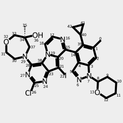 Cc1cc2c(cnn2C2CCCCO2)c(-c2nccn3c2c(I)c2nc(Cl)nc(N4CCOC[C@@](C)(O)C4)c23)c1C1CC1